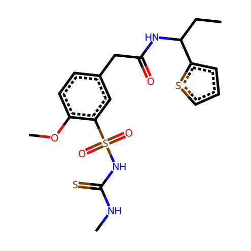 CCC(NC(=O)Cc1ccc(OC)c(S(=O)(=O)NC(=S)NC)c1)c1cccs1